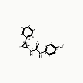 O=C(Nc1ccc(Cl)cc1)N[C@@H]1C[C@H]1c1ccccc1